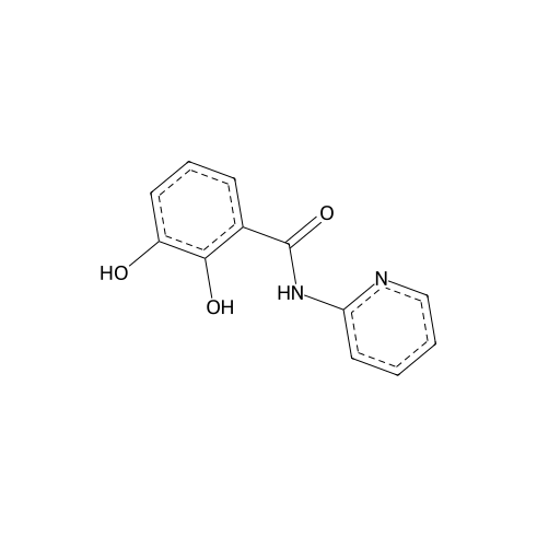 O=C(Nc1ccccn1)c1cccc(O)c1O